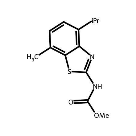 COC(=O)Nc1nc2c(C(C)C)ccc(C)c2s1